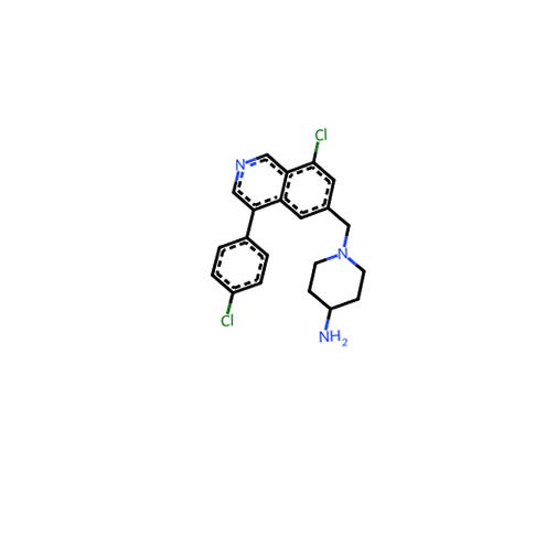 NC1CCN(Cc2cc(Cl)c3cncc(-c4ccc(Cl)cc4)c3c2)CC1